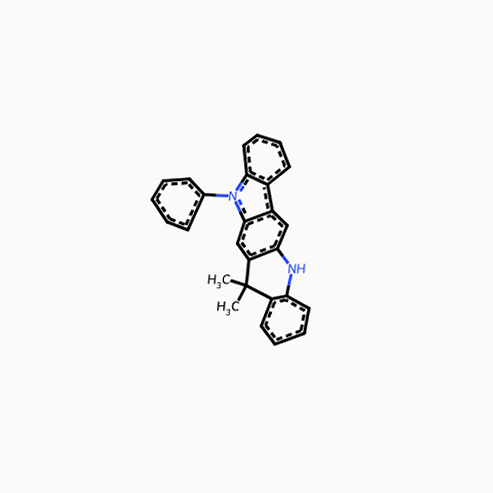 CC1(C)c2ccccc2Nc2cc3c4ccccc4n(-c4ccccc4)c3cc21